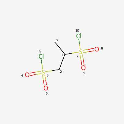 CC(CS(=O)(=O)Cl)S(=O)(=O)Cl